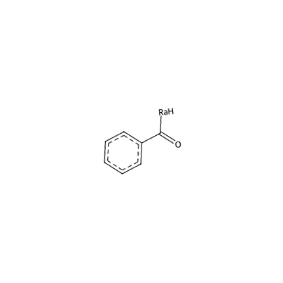 O=[C]([RaH])c1ccccc1